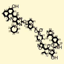 CCc1cccc2cc(O)cc(-c3ncc4c(N5CCCCCC5)nc(OC[C@@]56CCCN5[C@H](COC(=O)N5CCN(c7cc([C@H](C(=O)N8C[C@H](O)C[C@H]8C(=O)N[C@@H](C)c8ccc(-c9scnc9C)cc8)C(C)C)on7)CC5)CC6)nc4c3F)c12